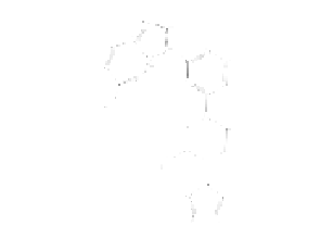 CC1CN(c2ccnc(-c3cnc4ccc(C(F)(F)F)cn34)n2)CCC1n1cccn1